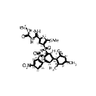 CSc1sc(C(=N)NC(=O)OC(C)(C)C)cc1S(=O)(=NS(=O)(=O)c1cccc([N+](=O)[O-])c1)c1cccc(-c2c(C)cc(C)cc2C)c1